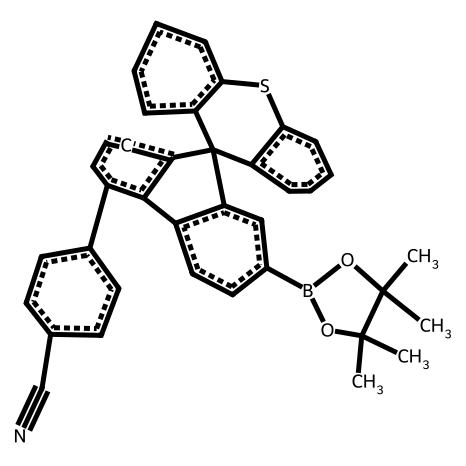 CC1(C)OB(c2ccc3c(c2)C2(c4ccccc4Sc4ccccc42)c2cccc(-c4ccc(C#N)cc4)c2-3)OC1(C)C